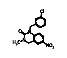 CN1Cc2cc([N+](=O)[O-])ccc2N(Cc2cccc(Cl)c2)C1=O